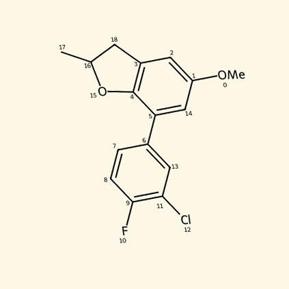 COc1cc2c(c(-c3ccc(F)c(Cl)c3)c1)OC(C)C2